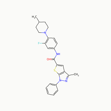 Cc1nn(-c2ccccc2)c2sc(C(=O)Nc3ccc(N4CCC(C)CC4)c(F)c3)cc12